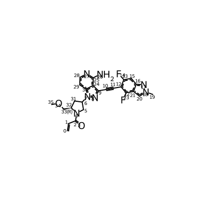 C=CC(=O)N1CC(n2nc(C#Cc3c(F)cc4nn(C)cc4c3F)c3c(N)nccc32)C[C@@H]1COC